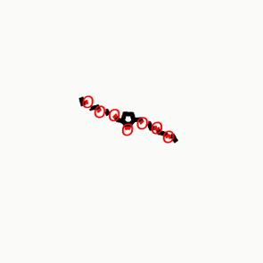 CCOCCOCCOCC1CCC(COCCOCCOCC)C2OC12